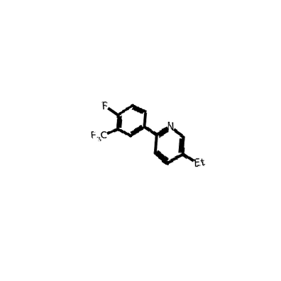 CCc1ccc(-c2ccc(F)c(C(F)(F)F)c2)nc1